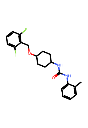 Cc1ccccc1NC(=O)NC1CCC(OCc2c(F)cccc2F)CC1